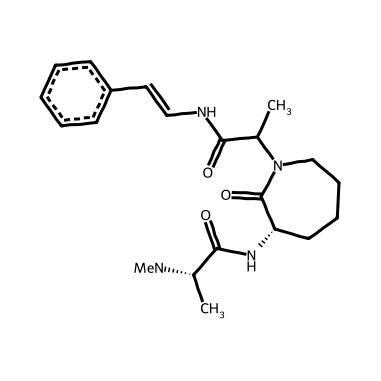 CN[C@@H](C)C(=O)N[C@H]1CCCCN(C(C)C(=O)NC=Cc2ccccc2)C1=O